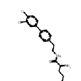 CCCC(N)C(=O)NCCc1ccc(-c2ccc(Cl)c(Cl)c2)cc1